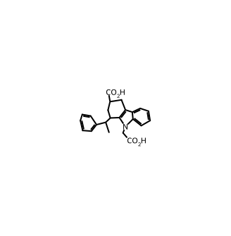 CC(c1ccccc1)C1CC(C(=O)O)Cc2c1n(CC(=O)O)c1ccccc21